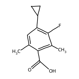 Cc1cc(C2CC2)c(F)c(C)c1C(=O)O